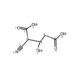 N#CC(C(=O)O)C(O)CC(=O)O